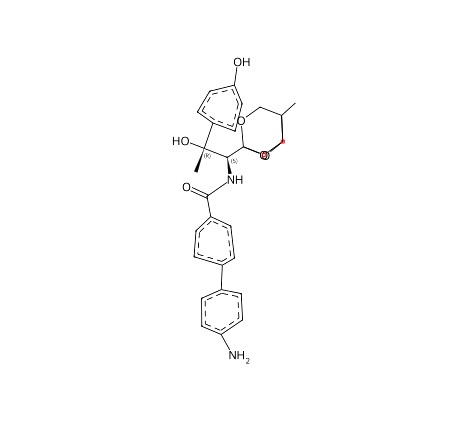 CC12COC([C@@H](NC(=O)c3ccc(-c4ccc(N)cc4)cc3)[C@](C)(O)c3ccc(O)cc3)(OC1)OC2